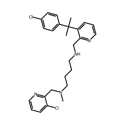 CN(CCCCNCc1ncccc1C(C)(C)c1ccc(Cl)cc1)Cc1ncccc1Cl